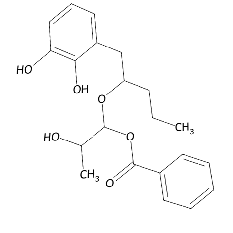 CCCC(Cc1cccc(O)c1O)OC(OC(=O)c1ccccc1)C(C)O